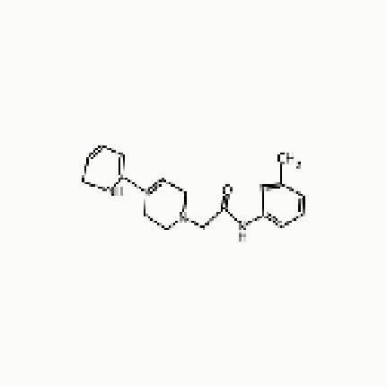 Cc1cccc(NC(=O)CN2CC=C(C3=CC=CCN3)CC2)c1